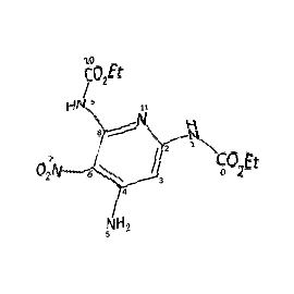 CCOC(=O)Nc1cc(N)c([N+](=O)[O-])c(NC(=O)OCC)n1